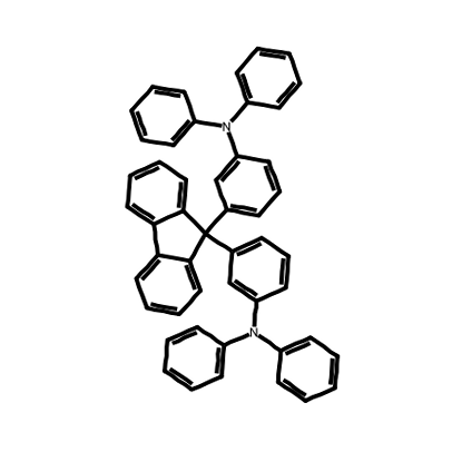 c1ccc(N(c2ccccc2)c2cccc(C3(c4cccc(N(c5ccccc5)c5ccccc5)c4)c4ccccc4-c4ccccc43)c2)cc1